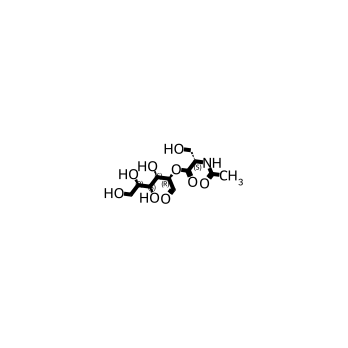 CC(=O)N[C@@H](CO)C(=O)O[C@@H](C=O)[C@@H](O)[C@@H](O)[C@H](O)CO